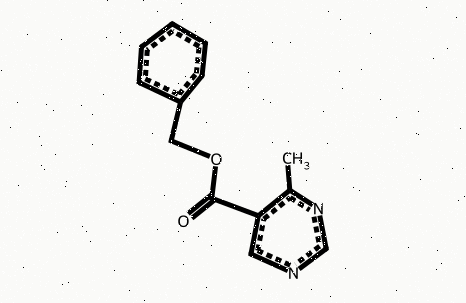 Cc1ncncc1C(=O)OCc1ccccc1